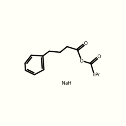 CCCC(=O)OC(=O)CCCc1ccccc1.[NaH]